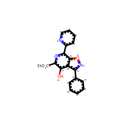 CCOC(=O)c1nc(-c2ccccn2)c2onc(-c3ccccc3)c2c1O